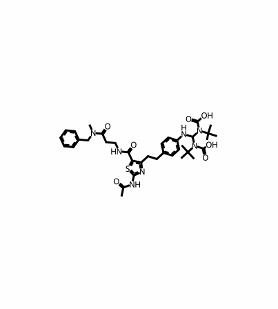 CC(=O)Nc1nc(CCc2ccc(NC(N(C(=O)O)C(C)(C)C)N(C(=O)O)C(C)(C)C)cc2)c(C(=O)NCCC(=O)N(C)Cc2ccccc2)s1